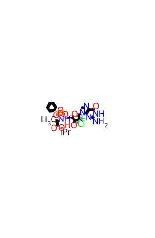 CC(C)OC(=O)[C@H](C)NP(=O)(OC[C@H]1O[C@@H](n2cnc3c(=O)[nH]c(N)nc32)[C@@](F)(Cl)[C@@H]1O)Oc1ccccc1